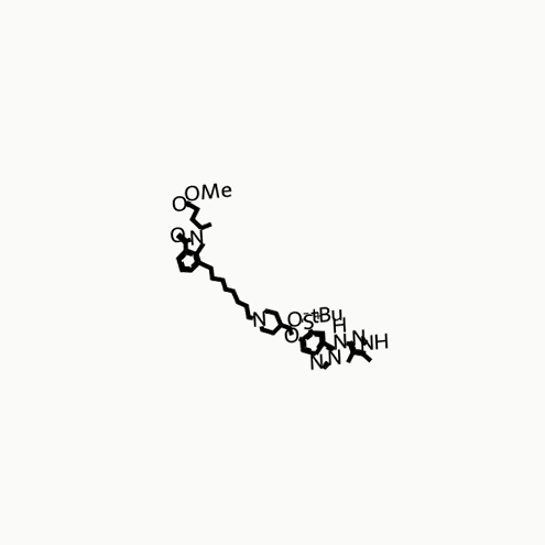 COC(=O)CCC(C)N1Cc2c(CCCCCCCCN3CCC(COc4cc5ncnc(Nc6n[nH]c(C)c6C)c5cc4[S+]([O-])C(C)(C)C)CC3)cccc2C1=O